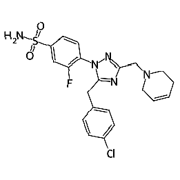 NS(=O)(=O)c1ccc(-n2nc(CN3CC=CCC3)nc2Cc2ccc(Cl)cc2)c(F)c1